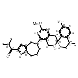 CSc1nc2c(c(N3CCCn4nc(C(=O)N(C)C)cc4C3)n1)CO[C@@]1(CC[C@H](C)c3ccc(Br)cc31)C2